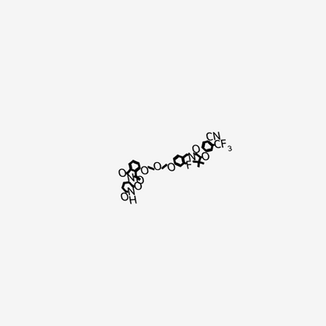 CC1(C)CN(Cc2ccc(OCCOCCOc3cccc4c3C(=O)N(C3CCC(=O)NC3=O)C4=O)cc2F)C(=O)C1Oc1ccc(C#N)c(C(F)(F)F)c1